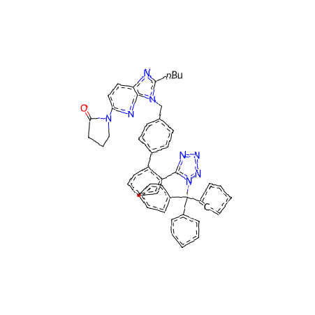 CCCCc1nc2ccc(N3CCCC3=O)nc2n1Cc1ccc(-c2ccccc2-c2nnnn2C(c2ccccc2)(c2ccccc2)c2ccccc2)cc1